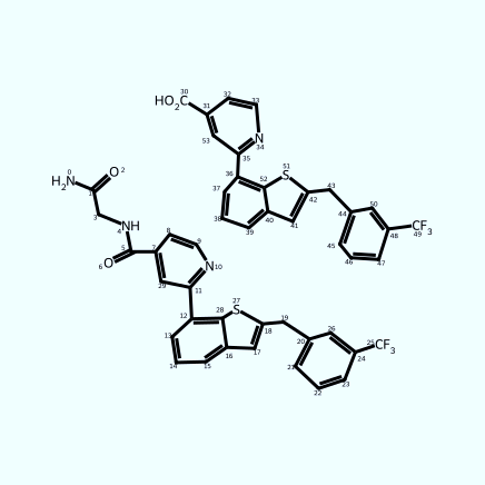 NC(=O)CNC(=O)c1ccnc(-c2cccc3cc(Cc4cccc(C(F)(F)F)c4)sc23)c1.O=C(O)c1ccnc(-c2cccc3cc(Cc4cccc(C(F)(F)F)c4)sc23)c1